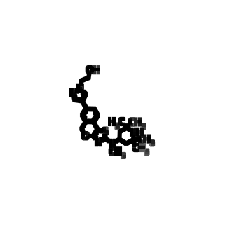 CN(c1nc2c(s1)-c1ccc(-c3cnn(CCO)c3)cc1CO2)C1CC(C)(C)NC(C)(C)C1